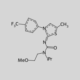 COCCN(C(=O)N=c1sc(C)cn1-c1ccc(C(F)(F)F)cc1)C(C)C